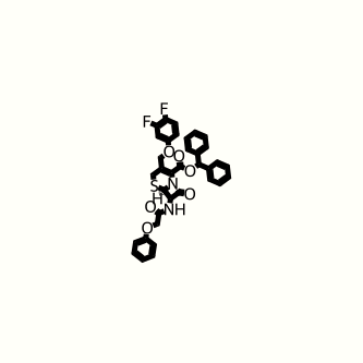 O=C(COc1ccccc1)NC1C(=O)N2C(C(=O)OC(c3ccccc3)c3ccccc3)=C(COc3ccc(F)c(F)c3)CS[C@@H]12